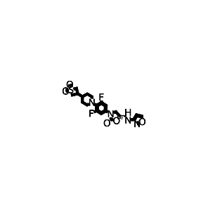 O=C1O[C@@H](CNc2ccon2)CN1c1cc(F)c(N2CCC(C3CS(=O)(=O)C3)CC2)c(F)c1